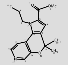 COC(=O)c1cc2c(n1CCF)-c1ccncc1OC2(C)C